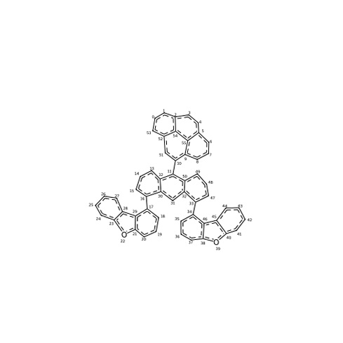 c1cc2ccc3cccc4c(-c5c6cccc(-c7cccc8oc9ccccc9c78)c6cc6c(-c7cccc8oc9ccccc9c78)cccc56)cc(c1)c2c34